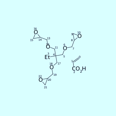 C=CC(=O)O.CCC(COCC1CO1)(COCC1CO1)COCC1CO1